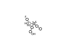 Oc1cccc(-c2ccc(C3C(CCC(O)c4ccc(F)cc4)SC(=S)N3c3ccc(-c4ccccc4)cc3)c(O)c2)c1